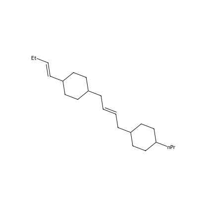 CCC=CC1CCC(CC=CCC2CCC(CCC)CC2)CC1